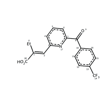 CC/C(=C\c1cccc(C(=O)c2ccc(C(F)(F)F)cc2)n1)C(=O)O